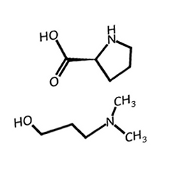 CN(C)CCCO.O=C(O)[C@@H]1CCCN1